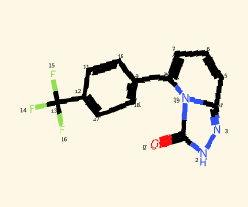 O=c1[nH]nc2cccc(-c3ccc(C(F)(F)F)cc3)n12